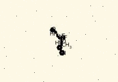 CC(NC(=O)c1sc(CCNCc2ccco2)nc1C(F)(F)F)c1cccc(-c2cccnc2)c1